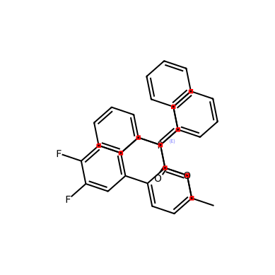 CCOC(=O)/C(=C/c1ccccc1)Cc1cc(F)c(F)cc1-c1ccccc1P(c1ccccc1)c1ccccc1